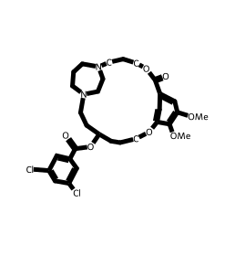 COc1cc2cc(c1OC)OCCCC(OC(=O)c1cc(Cl)cc(Cl)c1)CCN1CCCN(CCCOC2=O)CC1